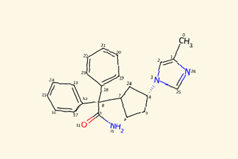 Cc1cn([C@@H]2CCC(C(C(N)=O)(c3ccccc3)c3ccccc3)C2)cn1